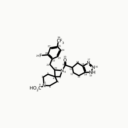 O=C(O)N1CCC2(CC1)CN(C(=O)C1CCc3[nH]nnc3C1)C2Cc1ccc(C(F)(F)F)cc1F